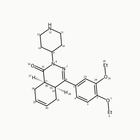 CCOc1ccc(C2=NN(C3CCNCC3)C(=O)[C@@H]3CC=CC[C@H]23)cc1OCC